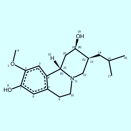 COc1cc2c(cc1O)CCN1C[C@H](CC(C)C)[C@H](O)C[C@@H]21